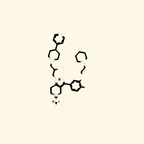 CS(=O)(=O)N1CCc2c(c(-c3ccc(C(F)(F)F)c(SCCN4CCCCC4)c3)nn2CC(O)CN2CCC(c3ccncc3)CC2)C1